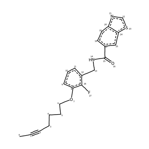 CC#CCCCCOc1cccc(CNC(=O)c2ccc3ncsc3c2)c1F